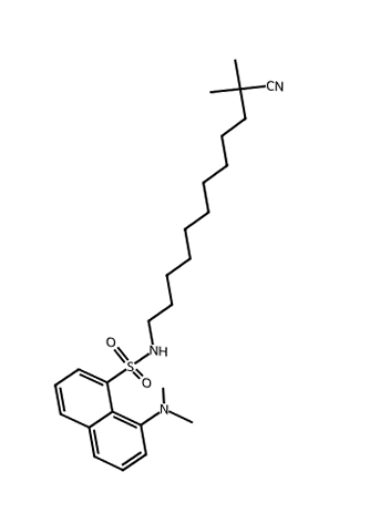 CN(C)c1cccc2cccc(S(=O)(=O)NCCCCCCCCCCC(C)(C)C#N)c12